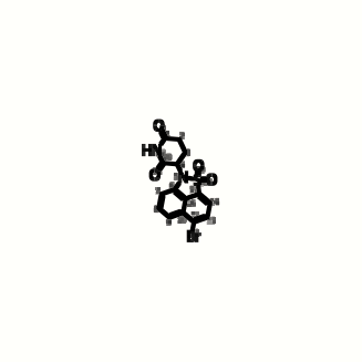 O=C1CCC(N2c3cccc4c(Br)ccc(c34)S2(=O)=O)C(=O)N1